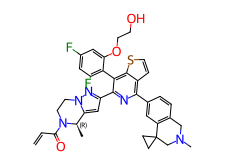 C=CC(=O)N1CCn2nc(-c3nc(-c4ccc5c(c4)C4(CC4)CN(C)C5)c4ccsc4c3-c3c(F)cc(F)cc3OCCO)cc2[C@H]1C